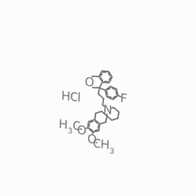 COc1cc2c(cc1OC)CC1(CCCCN1CCCC1(c3ccc(F)cc3)COCc3ccccc31)CC2.Cl